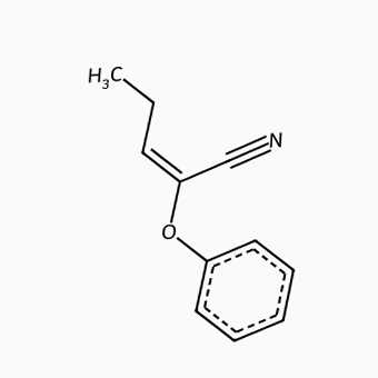 CCC=C(C#N)Oc1ccccc1